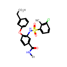 CCNC(=O)c1ccc(Oc2cccc(CC(=O)O)c2)c(NS(=O)(=O)c2cccc(Cl)c2C#N)c1